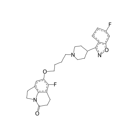 O=C1CCc2c(F)c(OCCCCN3CCC(c4noc5cc(F)ccc45)CC3)cc3c2N1CC3